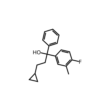 Cc1cc(C(O)(CCC2CC2)c2ccccc2)ccc1F